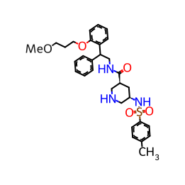 COCCCOc1ccccc1C(CNC(=O)[C@@H]1CNC[C@H](NS(=O)(=O)c2ccc(C)cc2)C1)c1ccccc1